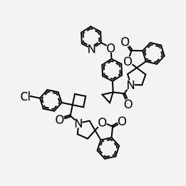 O=C1OC2(CCN(C(=O)C3(c4ccc(Cl)cc4)CCC3)C2)c2ccccc21.O=C1OC2(CCN(C(=O)C3(c4ccc(Oc5ccccn5)cc4)CC3)C2)c2ccccc21